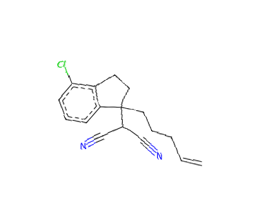 C=CCCCC1(C(C#N)C#N)CCc2c(Cl)cccc21